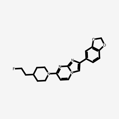 FCCC1CCN(c2ccn3cc(-c4ccc5c(c4)OCO5)nc3n2)CC1